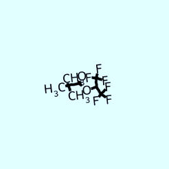 CC(C)(C)C(=O)OC(C(F)(F)F)C(F)(F)F